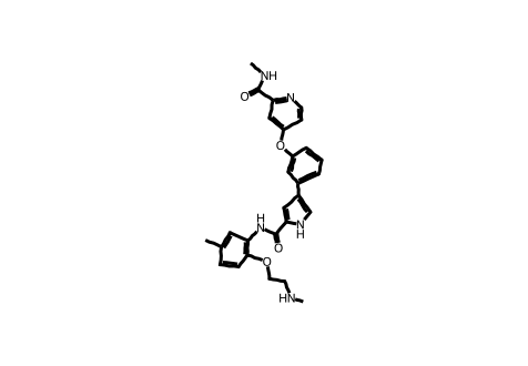 CNCCOc1ccc(C)cc1NC(=O)c1cc(-c2cccc(Oc3ccnc(C(=O)NC)c3)c2)c[nH]1